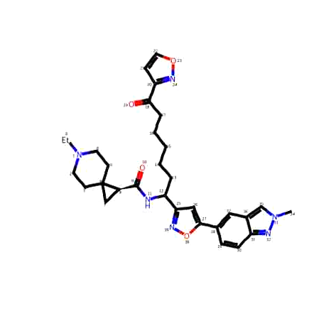 CCN1CCC2(CC1)C[C@@H]2C(=O)NC(CCCCCC(=O)c1ccon1)c1cc(-c2ccc3nn(C)cc3c2)on1